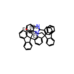 CCCCC(CC)CC1(c2cccc(C3(CC(CC)CCCC)c4ccccc4-c4ccccc43)c2-n2c(-c3ccccc3)nc3ccccc32)c2ccccc2-c2ccccc21